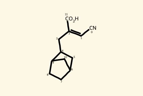 N#CC=C(CC1CC2CCC1C2)C(=O)O